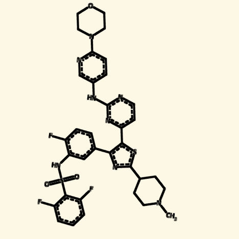 CN1CCC(c2nc(-c3ccc(F)c(NS(=O)(=O)c4c(F)cccc4F)c3)c(-c3ccnc(Nc4ccc(N5CCOCC5)nc4)n3)s2)CC1